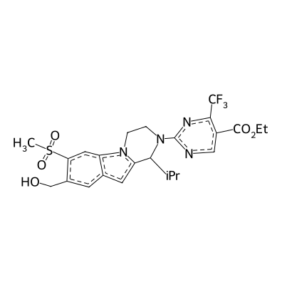 CCOC(=O)c1cnc(N2CCn3c(cc4cc(CO)c(S(C)(=O)=O)cc43)C2C(C)C)nc1C(F)(F)F